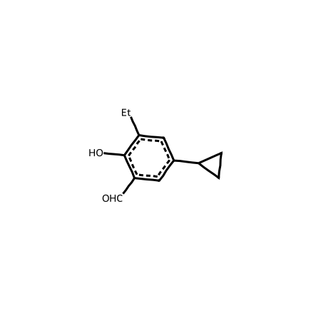 CCc1cc(C2CC2)cc(C=O)c1O